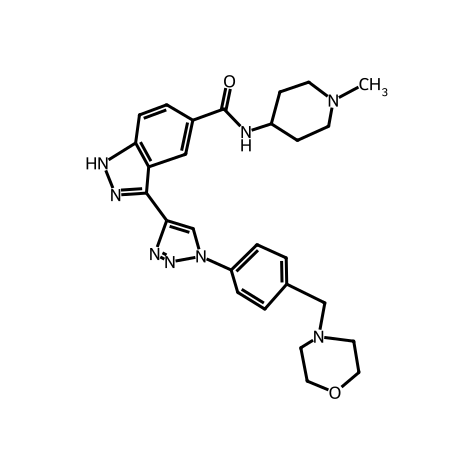 CN1CCC(NC(=O)c2ccc3[nH]nc(-c4cn(-c5ccc(CN6CCOCC6)cc5)nn4)c3c2)CC1